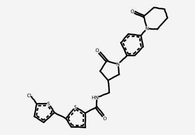 O=C(NCC1CC(=O)N(c2ccc(N3CCCCC3=O)cc2)C1)c1ccc(-c2ccc(Cl)s2)s1